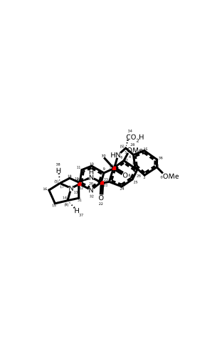 COc1ccc([C@H](NC(=O)c2ccc(N3[C@@H]4CC[C@H]3C[C@@H](NC(=O)c3cccc(OC)c3C)C4)nc2)C(=O)O)cc1